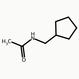 CC(=O)NCC1CCCC1